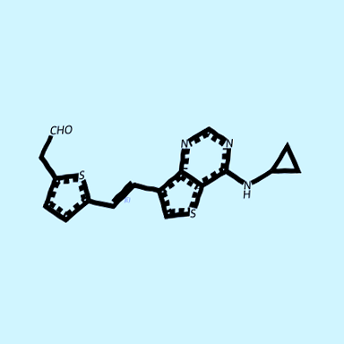 O=CCc1ccc(/C=C/c2csc3c(NC4CC4)ncnc23)s1